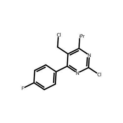 CC(C)c1nc(Cl)nc(-c2ccc(F)cc2)c1CCl